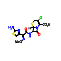 CON=C(C(=O)NC1C(=O)N2C(C(=O)O)=C(Cl)CS[C@@H]12)c1csc(N)n1